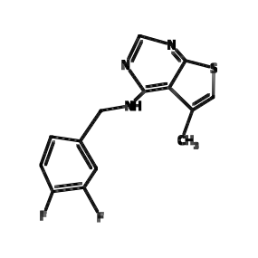 Cc1csc2ncnc(NCc3ccc(F)c(F)c3)c12